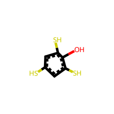 Oc1c(S)cc(S)cc1S